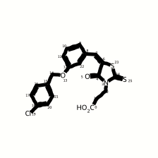 O=C(O)CCN1C(=O)/C(=C\c2cccc(OCc3ccc(Cl)cc3)c2)SC1=S